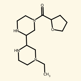 CCN1CCNC(C2CN(C(=O)C3CCCO3)CCN2)C1